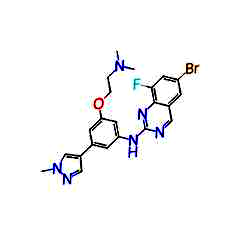 CN(C)CCOc1cc(Nc2ncc3cc(Br)cc(F)c3n2)cc(-c2cnn(C)c2)c1